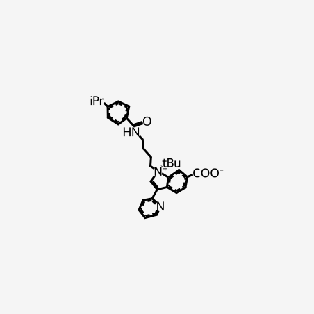 CC(C)c1ccc(C(=O)NCCCC[N+]2(C(C)(C)C)C=C(c3ccccn3)c3ccc(C(=O)[O-])cc32)cc1